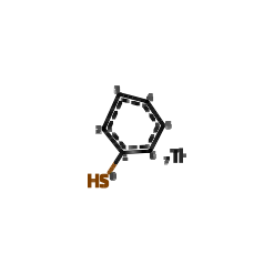 Sc1ccccc1.[Tl]